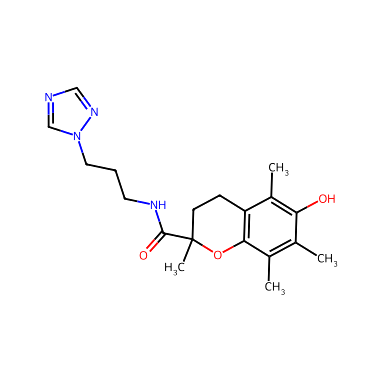 Cc1c(C)c2c(c(C)c1O)CCC(C)(C(=O)NCCCn1cncn1)O2